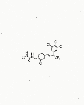 CCNC(=S)NCc1ccc(/C=C/C(c2cc(Cl)c(Cl)c(Cl)c2)C(F)(F)F)cc1Cl